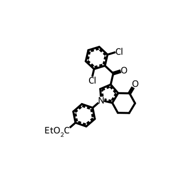 CCOC(=O)c1ccc(-n2cc(C(=O)c3c(Cl)cccc3Cl)c3c2CCCC3=O)cc1